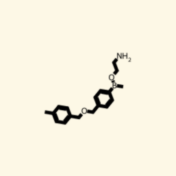 CB(OCCN)c1ccc(COCc2ccc(C)cc2)cc1